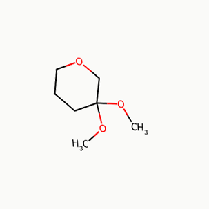 COC1(OC)CCCOC1